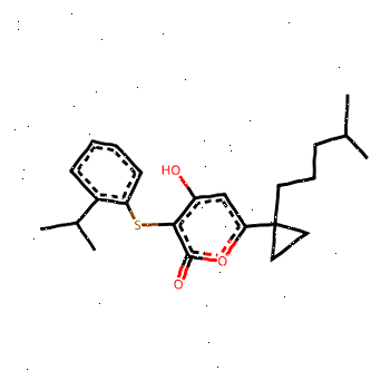 CC(C)CCCC1(c2cc(O)c(Sc3ccccc3C(C)C)c(=O)o2)CC1